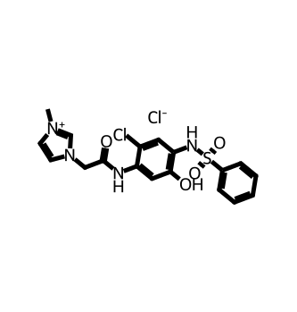 C[n+]1ccn(CC(=O)Nc2cc(O)c(NS(=O)(=O)c3ccccc3)cc2Cl)c1.[Cl-]